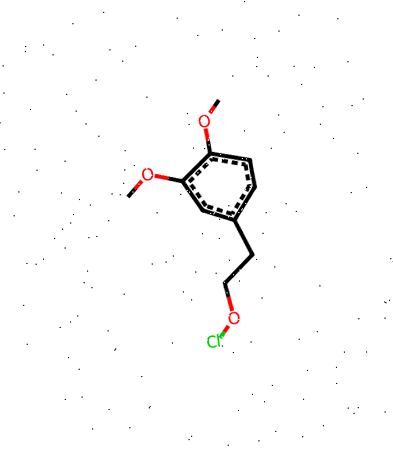 COc1ccc(CCOCl)cc1OC